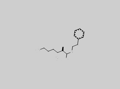 C[C](NCCc1ccccc1)C(=O)[C@H](N)CCCN